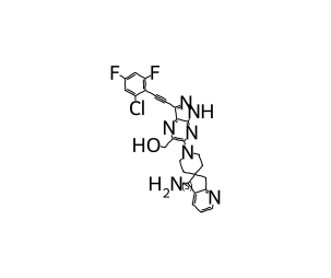 N[C@@H]1c2cccnc2CC12CCN(c1nc3[nH]nc(C#Cc4c(F)cc(F)cc4Cl)c3nc1CO)CC2